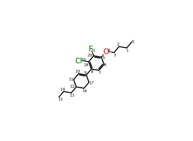 CCCCOc1ccc(C2=CCC(CCC)CC2)c(Cl)c1F